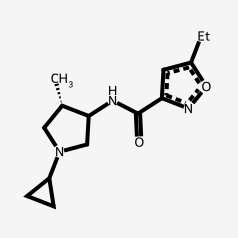 CCc1cc(C(=O)NC2CN(C3CC3)C[C@@H]2C)no1